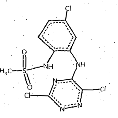 CS(=O)(=O)Nc1ccc(Cl)cc1Nc1nc(Cl)nnc1Cl